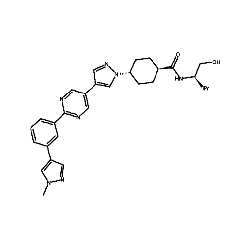 CC(C)[C@H](CO)NC(=O)[C@H]1CC[C@H](n2cc(-c3cnc(-c4cccc(-c5cnn(C)c5)c4)nc3)cn2)CC1